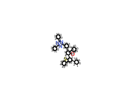 c1ccc(-c2cc(-c3ccc(-c4cccc(-c5nc(-c6ccccc6)nc(-c6ccccc6)n5)c4)c4c3oc3ccccc34)c3sc4ccccc4c3c2)cc1